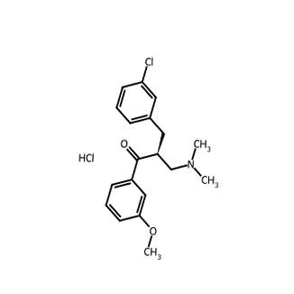 COc1cccc(C(=O)[C@@H](Cc2cccc(Cl)c2)CN(C)C)c1.Cl